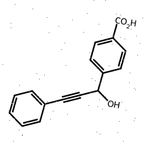 O=C(O)c1ccc(C(O)C#Cc2ccccc2)cc1